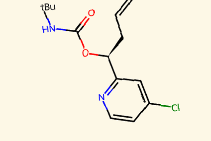 C=CC[C@H](OC(=O)NC(C)(C)C)c1cc(Cl)ccn1